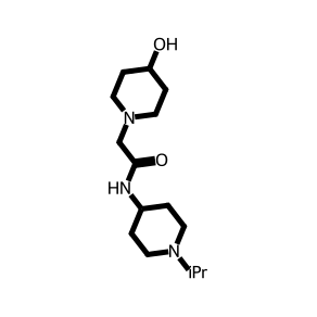 CC(C)N1CCC(NC(=O)CN2CCC(O)CC2)CC1